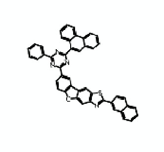 c1ccc(-c2nc(-c3ccc4oc5cc6nc(-c7ccc8ccccc8c7)sc6cc5c4c3)nc(-c3cc4ccccc4c4ccccc34)n2)cc1